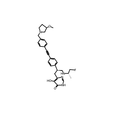 CO[C@@H]1CCN(Cc2ccc(C#Cc3ccc([C@@H](CN[C@@H](C)CF)Cc4nc[nH]c(=O)c4O)cc3)cc2)C1